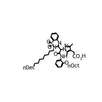 CCCCCCCCCCCCCCCCCCN1C(C(C(=O)Nc2ccccc2OCCCCCCCC)n2nc(C)c(CC(=O)O)c2C)=Nc2ccccc2S1(=O)=O